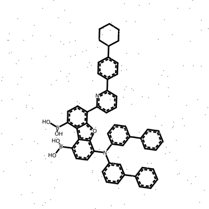 OB(O)c1ccc(-c2cccc(-c3ccc(C4CCCCC4)cc3)n2)c2oc3c(N(c4cccc(-c5ccccc5)c4)c4cccc(-c5ccccc5)c4)ccc(B(O)O)c3c12